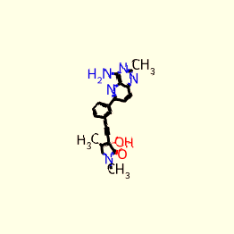 Cc1nc(N)c2nc(-c3cccc(C#C[C@@]4(O)C(=O)N(C)CC4C)c3)ccc2n1